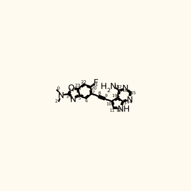 CN(C)c1nc2cc(C#Cc3c[nH]c4ncnc(N)c34)c(F)cc2o1